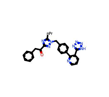 CCCc1nc(C(=O)Cc2ccccc2)nn1Cc1ccc(-c2ncccc2-c2nnn[nH]2)cc1